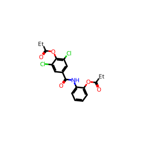 CCC(=O)Oc1ccccc1NC(=O)c1cc(Cl)c(OC(=O)CC)c(Cl)c1